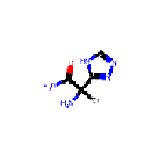 CCC(N)(C(N)=O)c1nnc[nH]1